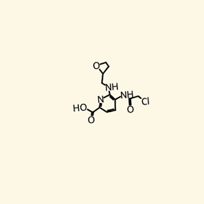 O=C(CCl)Nc1ccc(C(=O)O)nc1NCC1CCO1